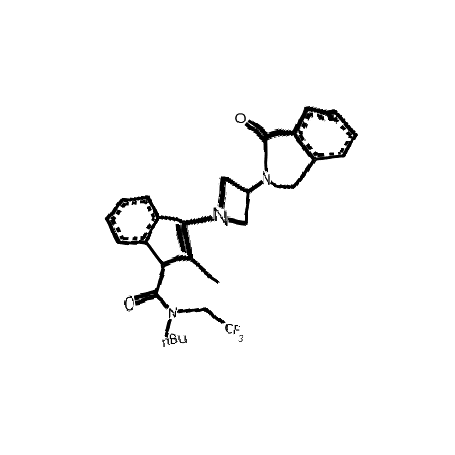 CCCCN(CC(F)(F)F)C(=O)C1C(C)=C(N2CC(N3Cc4ccccc4C3=O)C2)c2ccccc21